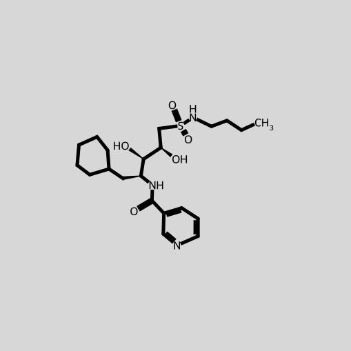 CCCCNS(=O)(=O)C[C@@H](O)[C@H](O)[C@H](CC1CCCCC1)NC(=O)c1cccnc1